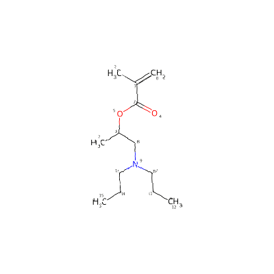 C=C(C)C(=O)OC(C)CN(CCC)CCC